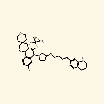 CC(C)(C)OC(=O)C(c1cc(F)ccc1C1CCC2(CCOCC2)CO1)N1CCC(OCCCCc2ccc3c(n2)NCCC3)C1